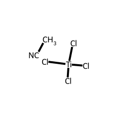 CC#N.[Cl][Ti]([Cl])([Cl])[Cl]